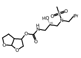 CC(C)CN(C[C@@H](O)CNC(=O)OC1COC2OCCC12)S(C)(=O)=O